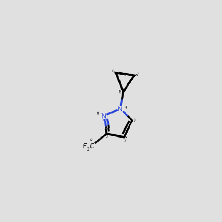 FC(F)(F)c1[c]cn(C2CC2)n1